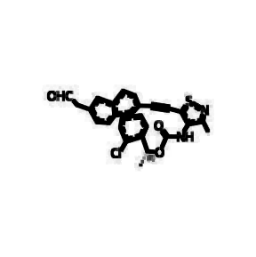 Cc1nsc(C#Cc2ccc3cc(CC=O)ccc3c2)c1NC(=O)O[C@H](C)c1ccccc1Cl